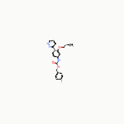 CCCOC1=C/C(=N/C(=O)OCc2ccc(F)cc2)C=CC1c1cccnn1